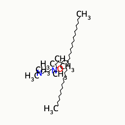 CCCCCCCCCCCCCCCCC(CCCCCCCCCCCCCCCC)CC(C)C(C)C(C)C(=O)N(C)CCCCN(C)C